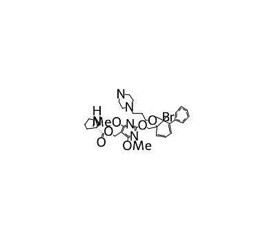 COc1nc(OCC2(OCCCN3CCN(C)CC3)C=CC=C(c3ccccc3)C2(C)Br)nc(OC)c1COC(=O)[C@@H]1CCCN1